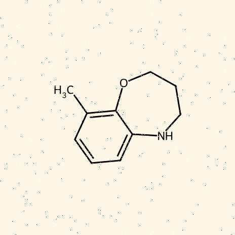 Cc1cccc2c1OCCCN2